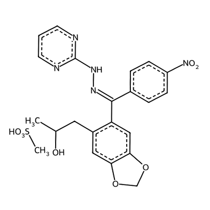 CC(O)Cc1cc2c(cc1C(=NNc1ncccn1)c1ccc([N+](=O)[O-])cc1)OCO2.CS(=O)(=O)O